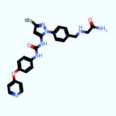 CC(C)(C)c1cc(NC(=O)Nc2ccc(Oc3ccncc3)cc2)n(-c2ccc(CNCC(N)=O)cc2)n1